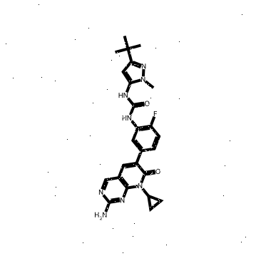 Cn1nc(C(C)(C)C)cc1NC(=O)Nc1cc(-c2cc3cnc(N)nc3n(C3CC3)c2=O)ccc1F